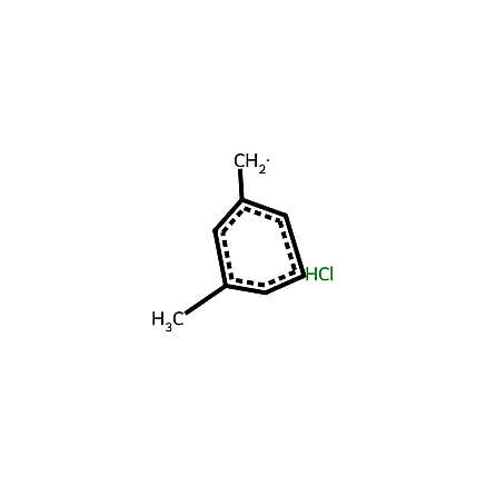 Cl.[CH2]c1cccc(C)c1